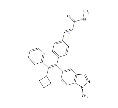 CNC(=O)/C=C/c1ccc(/C(=C(\c2ccccc2)C2CCC2)c2ccc3c(cnn3C)c2)cc1